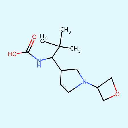 CC(C)(C)C(NC(=O)O)C1CCN(C2COC2)C1